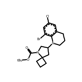 CC(C)(C)OC(=O)N1CC(N2CCCc3cc(Cl)cc(Br)c32)CC12CCC2